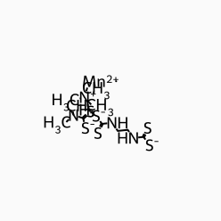 CN(C)C(=S)[S-].C[NH+](C)C.S=C([S-])NCCNC(=S)[S-].[Mn+2]